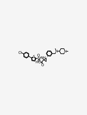 CN1CCC(N(C)Cc2cccc([C@@H]3C[C@]3(NS(=O)(=O)c3ccc(-c4ccc(Cl)cc4)s3)C(=O)O)c2)CC1